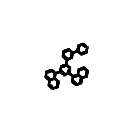 c1cc(-c2ccncc2)cc(-c2nc(-c3cccc4cnccc34)nc(-c3cccc4ncccc34)n2)c1